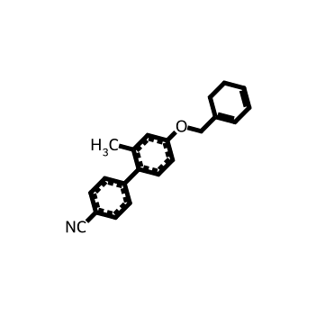 Cc1cc(OCC2=CC=CCC2)ccc1-c1ccc(C#N)cc1